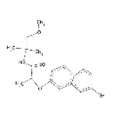 COCC(C)(C)NC(=O)C(C)Oc1ccc2ccc(Br)cc2c1